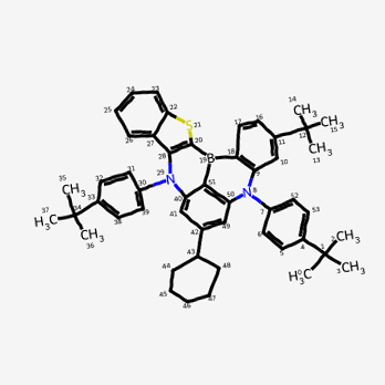 CC(C)(C)c1ccc(N2c3cc(C(C)(C)C)ccc3B3c4sc5ccccc5c4N(c4ccc(C(C)(C)C)cc4)c4cc(C5CCCCC5)cc2c43)cc1